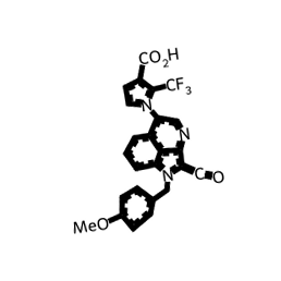 COc1ccc(Cn2c(=C=O)c3ncc(-n4ccc(C(=O)O)c4C(F)(F)F)c4cccc2c43)cc1